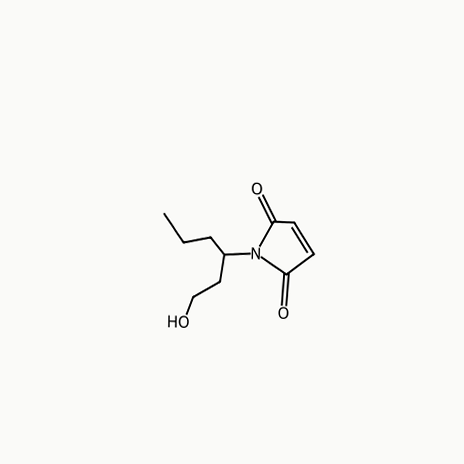 CCCC(CCO)N1C(=O)C=CC1=O